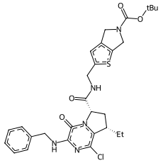 CC[C@H]1C[C@@H](C(=O)NCc2cc3c(s2)CN(C(=O)OC(C)(C)C)C3)n2c1c(Cl)nc(NCc1ccccc1)c2=O